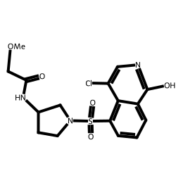 COCC(=O)NC1CCN(S(=O)(=O)c2cccc3c(O)ncc(Cl)c23)C1